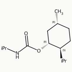 CC(C)NC(=O)O[C@@H]1C[C@H](C)CC[C@H]1C(C)C